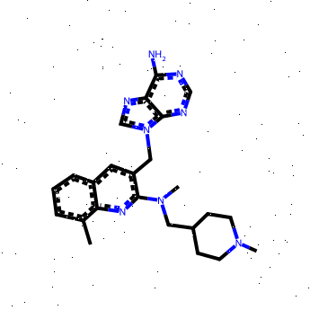 Cc1cccc2cc(Cn3cnc4c(N)ncnc43)c(N(C)CC3CCN(C)CC3)nc12